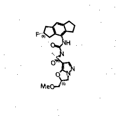 COC[C@@H]1Cn2ncc([S@@](C)(=O)=NC(=O)Nc3c4c(cc5c3C[C@H](F)C5)CCC4)c2O1